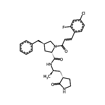 C[C@H](C[C@@H]1CCNC1=O)NC(=O)[C@@H]1C[C@@H](Cc2ccccc2)CN1C(=O)/C=C/c1ccc(Cl)cc1F